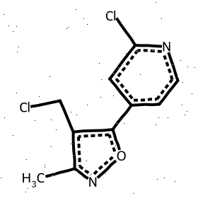 Cc1noc(-c2ccnc(Cl)c2)c1CCl